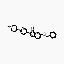 CN1CCN(c2ccc(-c3cc4ccc(OCc5ccccc5)cc4[nH]3)cn2)CC1